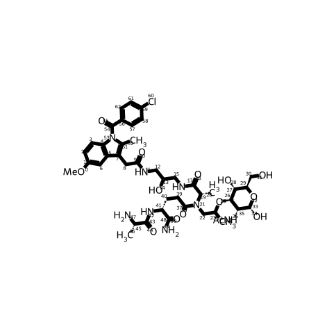 COc1ccc2c(c1)c(CC(=O)NCC(O)CNC(=O)[C@H](C)N(CC(C)O[C@H]1[C@H](O)[C@@H](CO)O[C@H](O)[C@@H]1NC(C)=O)C(=O)CC[C@@H](NC(=O)[C@H](C)N)C(N)=O)c(C)n2C(=O)c1ccc(Cl)cc1